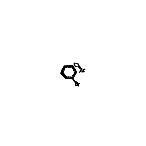 Brc1ccccc1.CC(=O)Cl